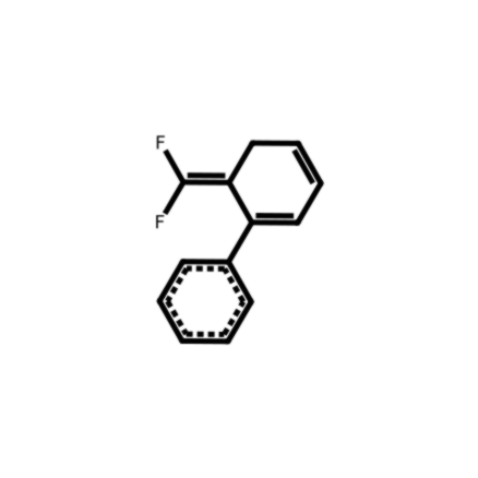 FC(F)=C1CC=CC=C1c1ccccc1